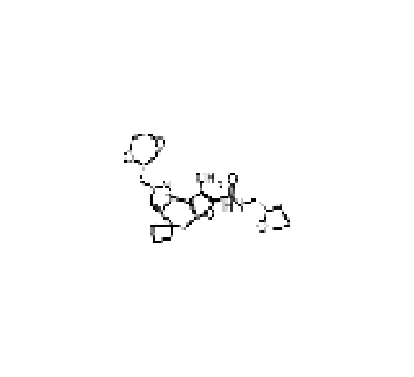 Cc1c(C(=O)NC[C@@H]2CCCO2)oc2c1-c1nn(C[C@H]3COCCO3)cc1C1(CCC1)C2